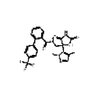 Cc1cnn(C)c1C1(CNC(=O)c2ccccc2-c2ccc(C(F)(F)F)cc2)NC(=O)NC1=O